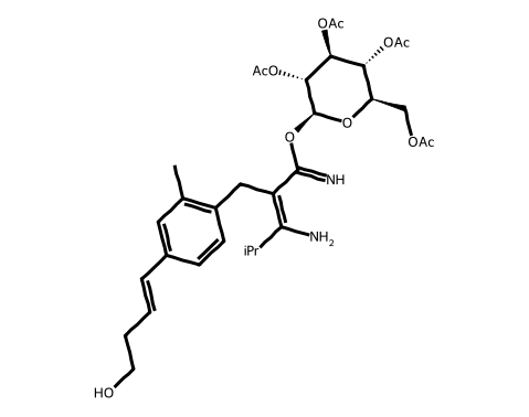 CC(=O)OC[C@H]1O[C@@H](OC(=N)/C(Cc2ccc(/C=C/CCO)cc2C)=C(\N)C(C)C)[C@H](OC(C)=O)[C@@H](OC(C)=O)[C@@H]1OC(C)=O